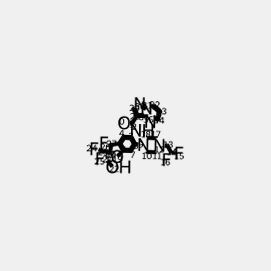 O=C(Nc1cc2c(cc1N1CCN(CC(F)F)CC1)O[C@@](CO)(C(F)(F)F)C2)c1cnn2cccnc12